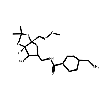 COOC[C@@]12OC(CNC(=O)C3CCC(CN)CC3)C(O)[C@@H]1OC(C)(C)O2